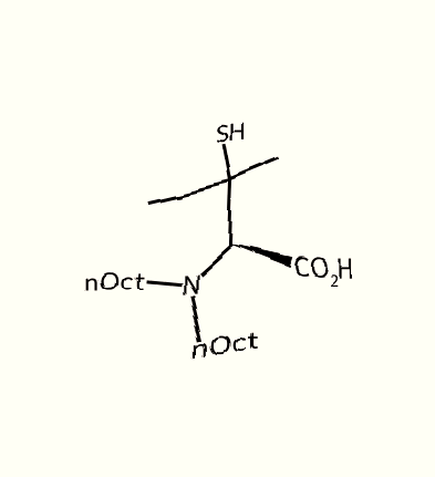 CCCCCCCCN(CCCCCCCC)[C@H](C(=O)O)C(C)(C)S